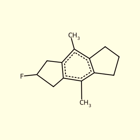 Cc1c2c(c(C)c3c1CC(F)C3)CCC2